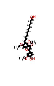 COc1cc(-c2cc(=O)c3c(OC)c(CCCCCCCCCCCCO)c(OC)cc3o2)ccc1O